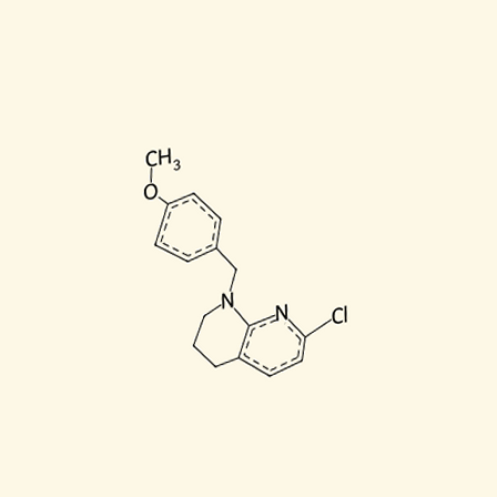 COc1ccc(CN2CCCc3ccc(Cl)nc32)cc1